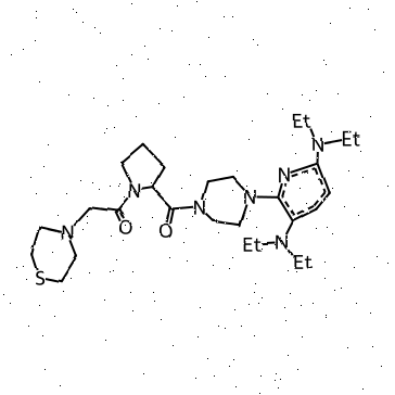 CCN(CC)c1ccc(N(CC)CC)c(N2CCN(C(=O)C3CCCN3C(=O)CN3CCSCC3)CC2)n1